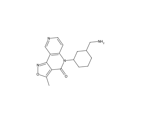 Cc1onc2c1c(=O)n(C1CCCC(CN)C1)c1ccncc21